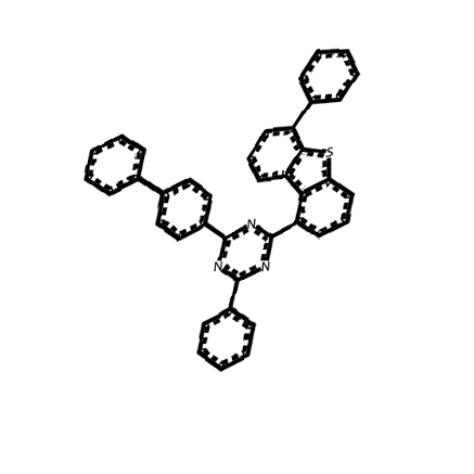 c1ccc(-c2ccc(-c3nc(-c4ccccc4)nc(-c4cccc5sc6c(-c7ccccc7)cccc6c45)n3)cc2)cc1